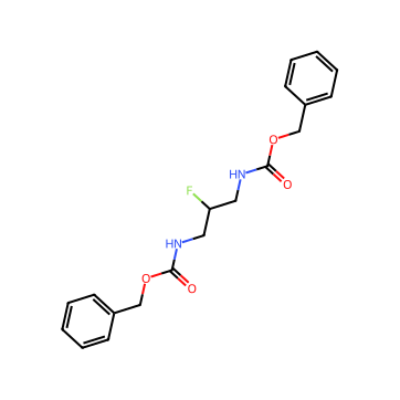 O=C(NCC(F)CNC(=O)OCc1ccccc1)OCc1ccccc1